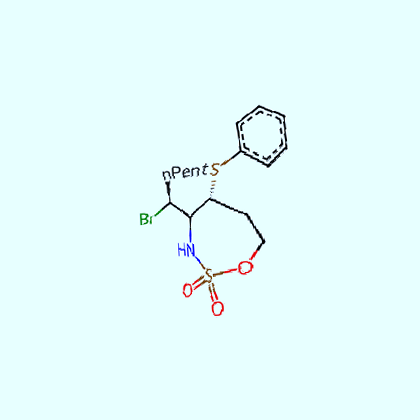 CCCCC[C@H](Br)C1NS(=O)(=O)OCC[C@H]1Sc1ccccc1